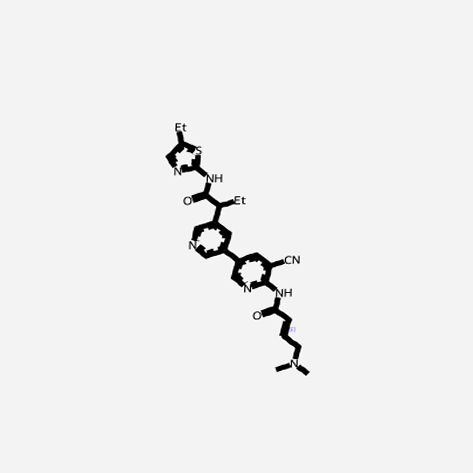 CCc1cnc(NC(=O)C(CC)c2cncc(-c3cnc(NC(=O)/C=C/CN(C)C)c(C#N)c3)c2)s1